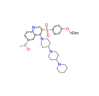 CCCCCCCCCCOc1ccc(S(=O)(=O)c2cnc3ccc([S+](C)[O-])cc3c2N2CCC(N3CCC(N4CCCCC4)CC3)CC2)cc1